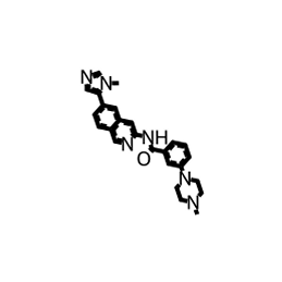 CN1CCN(c2cccc(C(=O)Nc3cc4cc(-c5cncn5C)ccc4cn3)c2)CC1